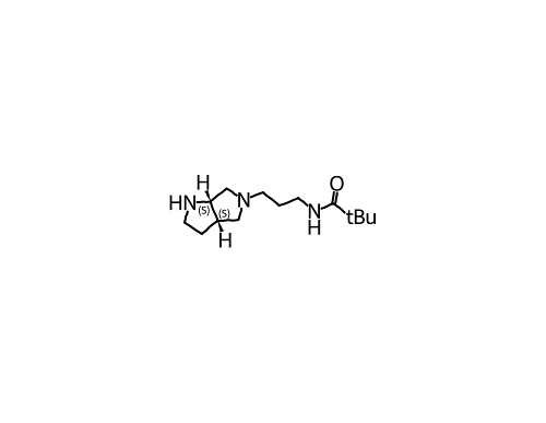 CC(C)(C)C(=O)NCCCN1C[C@@H]2CCN[C@@H]2C1